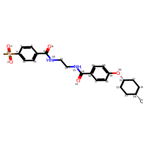 CS(=O)(=O)c1ccc(C(=O)NCCNC(=O)c2ccc(O[C@H]3CC[C@@H](C(=O)O)CC3)cc2)cc1